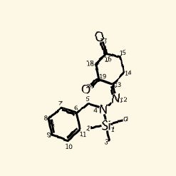 C[Si](C)(C)N(Cc1ccccc1)/N=C1/CCC(=O)CC1=O